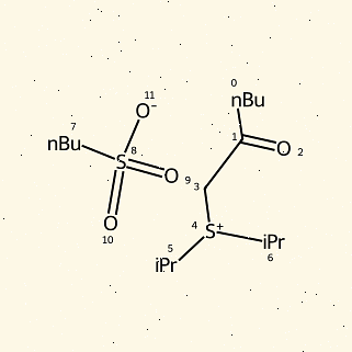 CCCCC(=O)C[S+](C(C)C)C(C)C.CCCCS(=O)(=O)[O-]